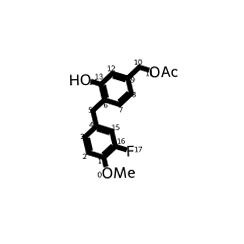 COc1ccc(Cc2ccc(COC(C)=O)cc2O)cc1F